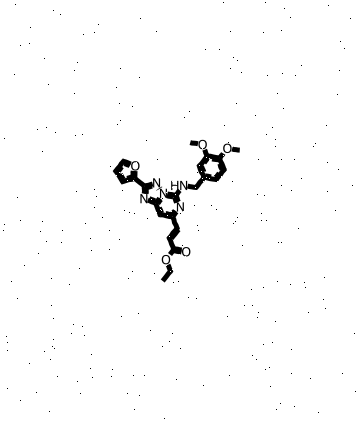 CCOC(=O)C=Cc1cc2nc(-c3ccco3)nn2c(NCc2ccc(OC)c(OC)c2)n1